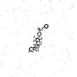 Cc1ccc2c(N)c(N[C@H]3COc4c(F)c(N5CCN(C(=O)OCc6ccccc6)CC5)c(F)c(F)c4C3)sc2n1